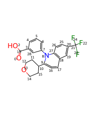 O=C(O)c1cccc(N2C(C3CCOCC3)=C=Cc3cc(C(F)(F)F)ccc32)c1